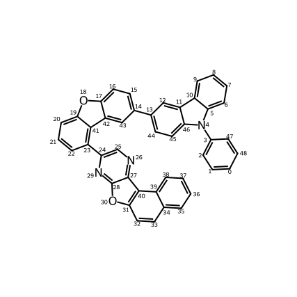 c1ccc(-n2c3ccccc3c3cc(-c4ccc5oc6cccc(-c7cnc8c(n7)oc7ccc9ccccc9c78)c6c5c4)ccc32)cc1